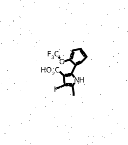 Cc1[nH]c(-c2ccccc2OC(F)(F)F)c(C(=O)O)c1I